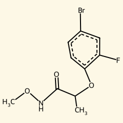 CONC(=O)C(C)Oc1ccc(Br)cc1F